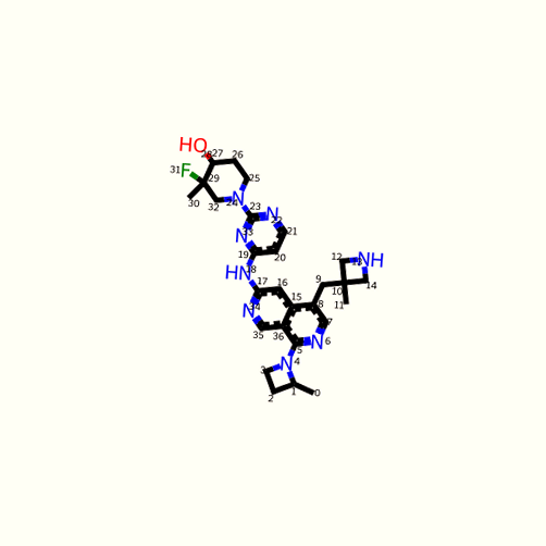 CC1CCN1c1ncc(CC2(C)CNC2)c2cc(Nc3ccnc(N4CCC(O)C(C)(F)C4)n3)ncc12